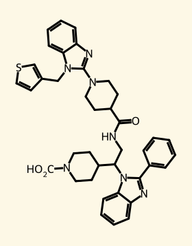 O=C(NCC(C1CCN(C(=O)O)CC1)n1c(-c2ccccc2)nc2ccccc21)C1CCN(c2nc3ccccc3n2Cc2ccsc2)CC1